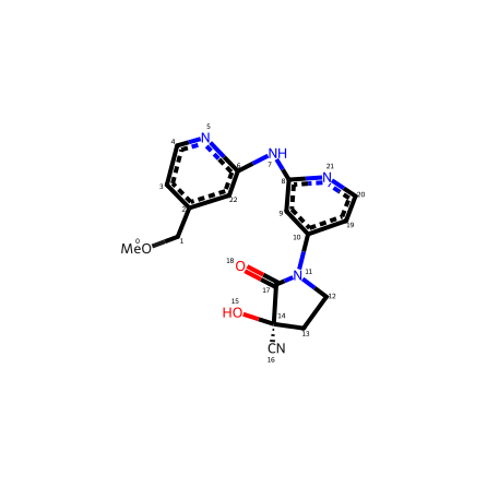 COCc1ccnc(Nc2cc(N3CC[C@](O)(C#N)C3=O)ccn2)c1